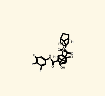 O=C(Nc1cc(F)c(F)c(F)c1)c1ccc(Cl)c(S(=O)(=O)[C@@H]2CC3CC[C@@H](C2)[C@@]3(O)CNC(=O)C2CC2(O)CO)c1